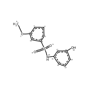 COc1cccc(S(=O)(=O)Nc2cccc(O)c2)c1